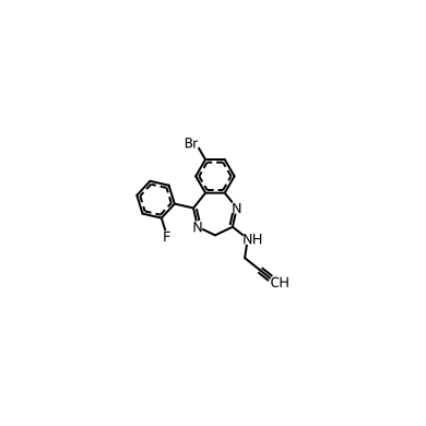 C#CCNC1=Nc2ccc(Br)cc2C(c2ccccc2F)=NC1